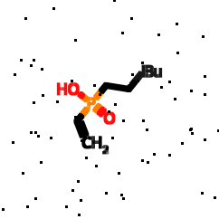 C=CP(=O)(O)CCC(C)CC